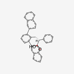 O=C(O)[C@H](Cc1c(-c2ccc3ccccc3c2)cccc1-c1ccc2ccccc2c1)c1ccccc1